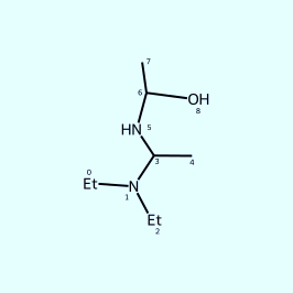 CCN(CC)C(C)NC(C)O